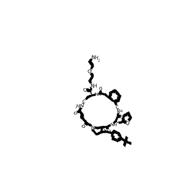 CC(C)(C)c1ccc(C2C3CCN4C[C@@]32C(=O)N[C@@H](Cc2ccco2)C(=O)NCc2ccccc2CC(=O)N[C@H](C(=O)NCCOCCN)CCNC(=O)/C=C/C4=O)cc1